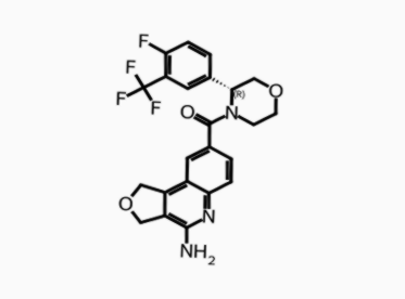 Nc1nc2ccc(C(=O)N3CCOC[C@H]3c3ccc(F)c(C(F)(F)F)c3)cc2c2c1COC2